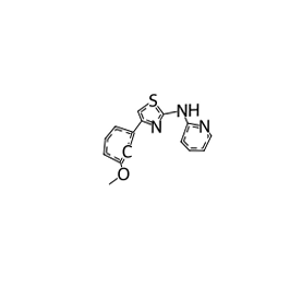 COc1cccc(-c2csc(Nc3ccccn3)n2)c1